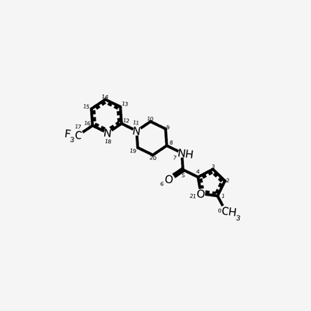 Cc1ccc(C(=O)NC2CCN(c3cccc(C(F)(F)F)n3)CC2)o1